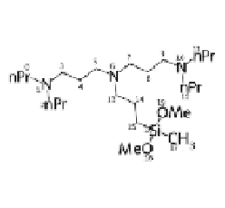 CCCN(CCC)CCCN(CCCN(CCC)CCC)CCC[Si](C)(OC)OC